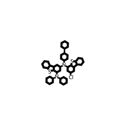 Clc1cc(N(c2ccc(-c3ccccc3)cc2)c2cc(N(c3ccccc3)c3ccccc3)c3sc4ccccc4c3c2)c2sc3ccccc3c2c1